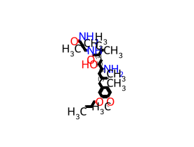 CCCCOc1cc(C[C@@H](C[C@H](N)[C@@H](O)C[C@H](C(=O)NCC(C)(C)C(N)=O)C(C)C)C(C)C)ccc1OC